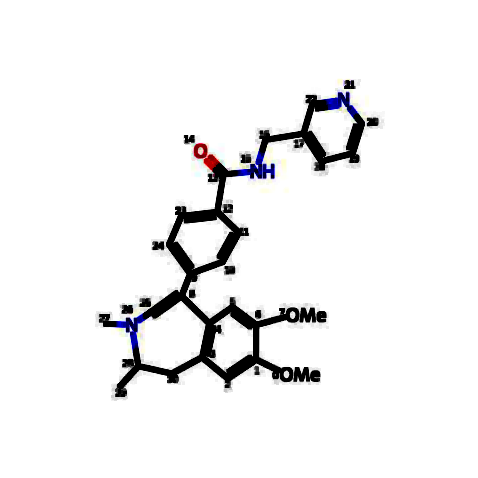 COc1cc2c(cc1OC)C(c1ccc(C(=O)NCc3cccnc3)cc1)=CN(C)C(C)C2